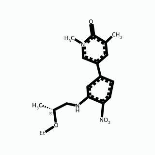 CCO[C@H](C)CNc1cc(-c2cc(C)c(=O)n(C)c2)ccc1[N+](=O)[O-]